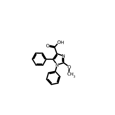 COc1nc(C(=O)O)c(-c2ccccc2)n1-c1ccccc1